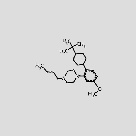 CCCCN1CCN(c2cc(OC)ccc2C2CCC(C(C)(C)C)CC2)CC1